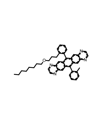 CCCCCCCCOCCCc1ccccc1-c1c2cc3nccnc3cc2c(-c2ccccc2C)c2cc3nccnc3cc12